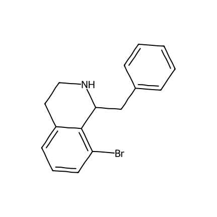 Brc1cccc2c1C(Cc1ccccc1)NCC2